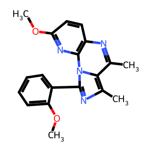 COc1ccc2nc(C)c3c(C)nc(-c4ccccc4OC)n3c2n1